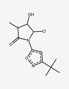 CN1C(=O)N(c2cc(C(C)(C)C)no2)C(Cl)C1O